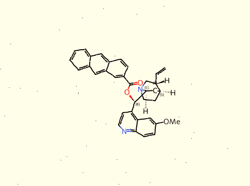 C=C[C@H]1CN2CC[C@H]1C[C@H]2[C@H](OC(=O)c1ccc2cc3ccccc3cc2c1)c1ccnc2ccc(OC)cc12